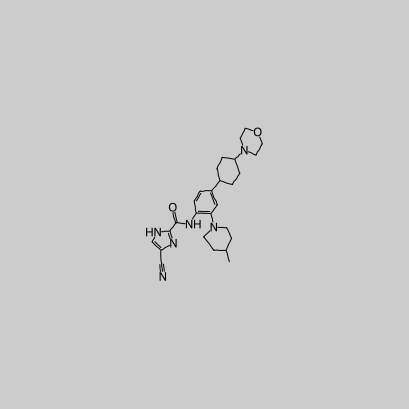 CC1CCN(c2cc(C3CCC(N4CCOCC4)CC3)ccc2NC(=O)c2nc(C#N)c[nH]2)CC1